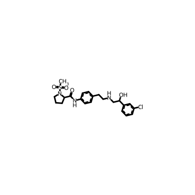 CS(=O)(=O)N1CCCC1C(=O)Nc1ccc(CCNCC(O)c2cccc(Cl)c2)cc1